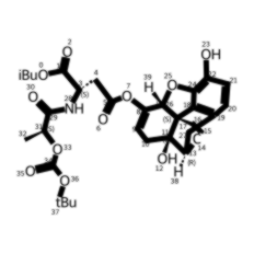 CC(C)COC(=O)[C@H](CC(=O)OC1=CC[C@@]2(O)[C@@H]3CCC[C@@]24c2c(ccc(O)c2O[C@@H]14)C3)NC(=O)[C@H](C)OC(=O)OC(C)(C)C